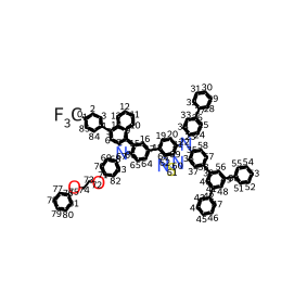 FC(F)(F)c1ccc(-c2cc3c(c4ccccc24)c2cc(-c4ccc(N(c5ccc(-c6ccccc6)cc5)c5ccc(-c6cc(-c7ccccc7)cc(-c7ccccc7)c6)cc5)c5nsnc45)ccc2n3-c2ccc(OCCOc3ccccc3)cc2)cc1